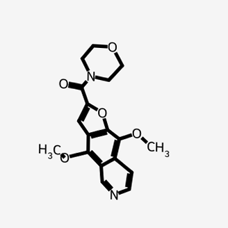 COc1c2cnccc2c(OC)c2oc(C(=O)N3CCOCC3)cc12